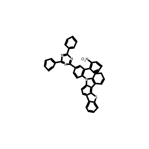 O=[N+]([O-])c1ccc#cc1-c1cc(-c2nc(-c3ccccc3)nc(-c3ccccc3)n2)ccc1-n1c2c(c3c4sc5ccccc5c4ccc31)C=CCC2